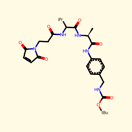 CC(C)C(NC(=O)CCN1C(=O)C=CC1=O)C(=O)N[C@@H](C)C(=O)Nc1ccc(CNC(=O)OC(C)(C)C)cc1